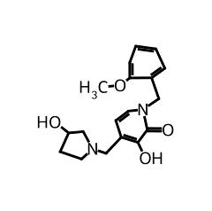 COc1ccccc1Cn1ccc(CN2CCC(O)C2)c(O)c1=O